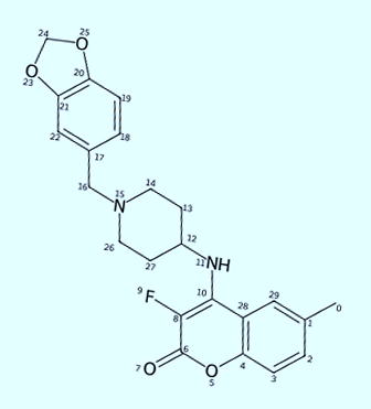 Cc1ccc2oc(=O)c(F)c(NC3CCN(Cc4ccc5c(c4)OCO5)CC3)c2c1